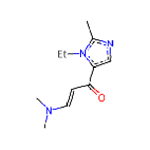 CCn1c(C(=O)C=CN(C)C)cnc1C